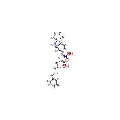 Cn1c2c(c3ccc(C(C[C@H](CCCCCc4ccccc4)C(=O)O)=NO)cc31)CCCC2